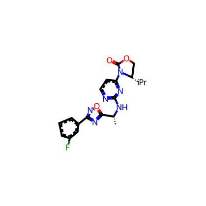 CC(C)[C@H]1COC(=O)N1c1ccnc(N[C@H](C)c2nc(-c3cccc(F)c3)no2)n1